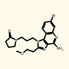 COCCc1nc2c(N)nc3cc(Br)ccc3c2n1CCCN1CCCC1=O